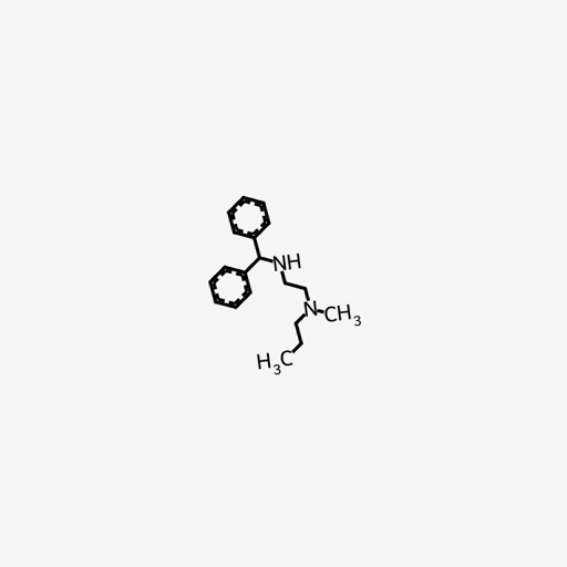 CCCN(C)CCNC(c1ccccc1)c1ccccc1